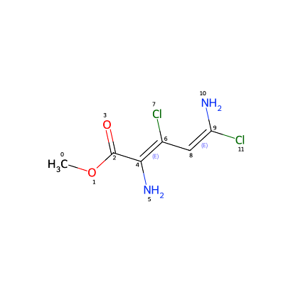 COC(=O)/C(N)=C(Cl)/C=C(\N)Cl